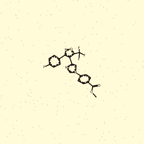 COC(=O)c1ccc(-n2cnc(-c3c(-c4ccc(F)cc4)noc3C(F)(F)F)c2)cc1